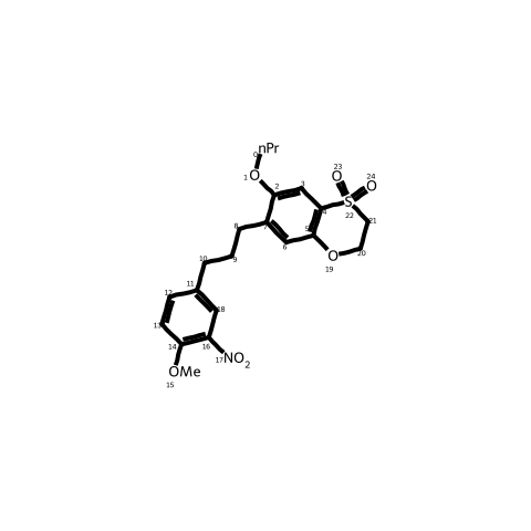 CCCOc1cc2c(cc1CCCc1ccc(OC)c([N+](=O)[O-])c1)OCCS2(=O)=O